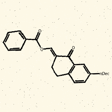 CCCCCCCCCCc1ccc2c(c1)C(=O)C(=COC(=O)c1ccccc1)CC2